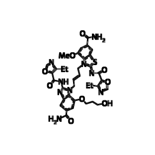 CCc1ncoc1C(=O)/N=c1\sc2cc(C(N)=O)cc(OC)c2n1C/C=C/Cn1c(NC(=O)c2ocnc2CC)nc2cc(C(N)=O)cc(OCCCO)c21